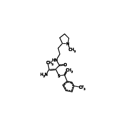 C=C(S/C(C(=O)NCCC1CCCN1C)=C(/C)N)c1cccc(C(F)(F)F)c1